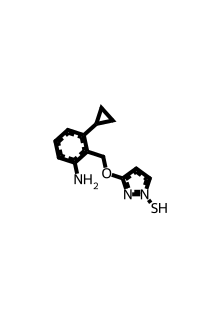 Nc1cccc(C2CC2)c1COc1ccn(S)n1